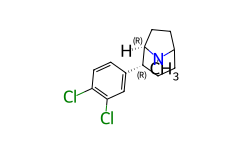 CN1C2CC[C@H](c3ccc(Cl)c(Cl)c3)[C@H]1CC2